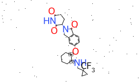 O=C1CCC(N2Cc3cc(O[C@H]4CCCC[C@@H]4NCC4(C(F)(F)F)CC4)ccc3C2=O)C(=O)N1